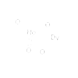 [O]=[Dy].[O]=[Ho](=[O])=[O]